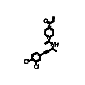 C=CC(=O)N1CCN(C(=C)NC(C)C#Cc2ccc(Cl)c(Cl)c2)CC1